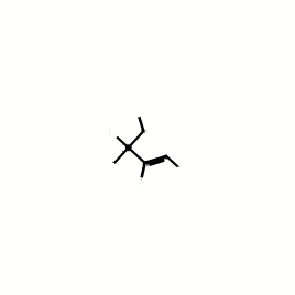 CC(F)(CF)C(F)=CF